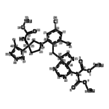 CCCCOC(=O)N(C(=O)OC(C)(C)C)c1ncnc2c1ncn2Cc1c(Br)cc(Cl)cc1N1CC[C@](NC(=O)OC(C)(C)C)(c2nnnn2C)C1